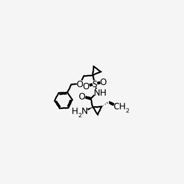 C=C[C@@H]1C[C@]1(N)C(=O)NS(=O)(=O)C1(COCc2ccccc2)CC1